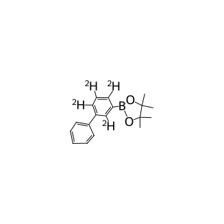 [2H]c1c([2H])c(B2OC(C)(C)C(C)(C)O2)c([2H])c(-c2ccccc2)c1[2H]